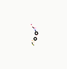 NC(=O)OCc1nc(-c2ccc(Oc3ccc(S(=O)(=O)CC4CS4)cc3)cc2)no1